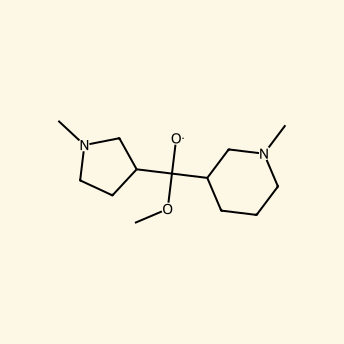 COC([O])(C1CCCN(C)C1)C1CCN(C)C1